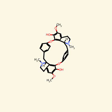 COc1cc2c3c(c1O)Oc1ccc(cc1)C[C@@H]1c4c(cc(OC)c(O)c4Oc4ccc(cc4)C[C@H]3N(C)CC2)CCN1C